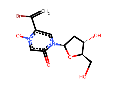 C=C(Br)c1cn([C@H]2C[C@H](O)[C@@H](CO)O2)c(=O)c[n+]1[O-]